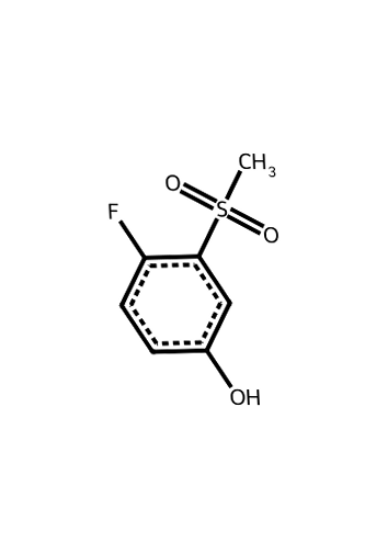 CS(=O)(=O)c1cc(O)ccc1F